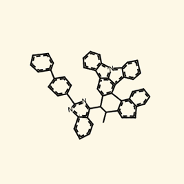 CC1c2ccc3ccccc3c2-c2c(cc3c4ccccc4n4c5ccccc5c2c34)C1c1nc(-c2ccc(-c3ccccc3)cc2)nc2ccccc12